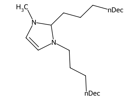 CCCCCCCCCCCCCC1N(C)C=CN1CCCCCCCCCCCCC